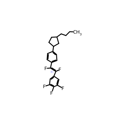 CCCCC1CCC(c2ccc(/C(F)=C(\F)c3cc(F)c(F)c(F)c3)cc2)C1